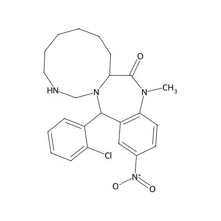 CN1C(=O)C2CCCCCCNCN2C(c2ccccc2Cl)c2cc([N+](=O)[O-])ccc21